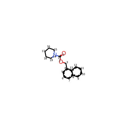 O=C(OCc1cccc2ccccc12)N1CCCCC1